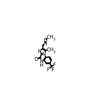 CON=Cc1nc2c(=O)[nH]c3cc(C(F)(F)F)ccc3n2c1C